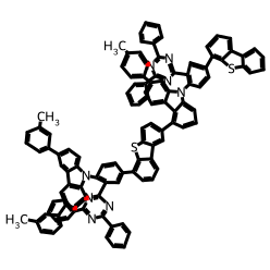 Cc1ccc(-c2ccc3c4c(-c5ccc6sc7c(-c8ccc(-n9c%10ccc(-c%11cccc(C)c%11)cc%10c%10cc(-c%11cccc(C)c%11)ccc%109)c(-c9nc(-c%10ccccc%10)nc(-c%10ccccc%10)n9)c8)cccc7c6c5)cccc4n(-c4ccc(-c5cccc6c5sc5ccccc56)cc4-c4nc(-c5ccccc5)nc(-c5ccccc5)n4)c3c2)cc1